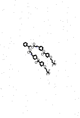 O=C(/C=C/c1ccc(OC(=O)c2ccc(OCCCC(F)(F)F)cc2)cc1)OCC(COC(=O)/C=C/c1ccc(OC(=O)c2ccc(OCCCC(F)(F)F)cc2)cc1)c1ccccc1